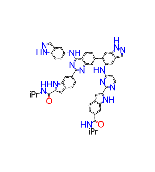 CC(C)NC(=O)c1ccc2cc(-c3nccc(Nc4cc5cn[nH]c5cc4-c4ccc5c(Nc6ccc7[nH]ncc7c6)nc(-c6ccc7cc(C(=O)NC(C)C)[nH]c7c6)nc5c4)n3)[nH]c2c1